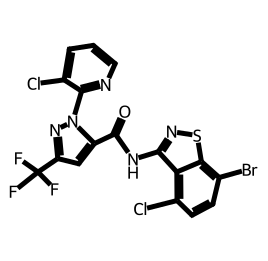 O=C(Nc1nsc2c(Br)ccc(Cl)c12)c1cc(C(F)(F)F)nn1-c1ncccc1Cl